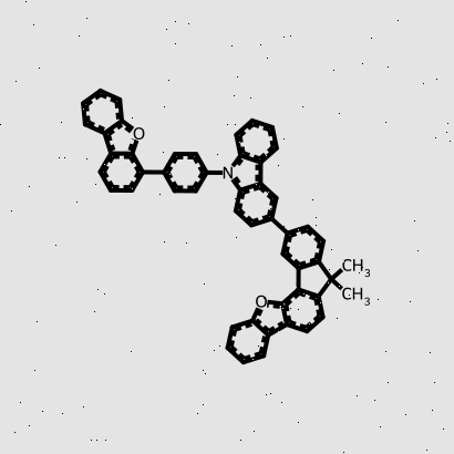 CC1(C)c2ccc(-c3ccc4c(c3)c3ccccc3n4-c3ccc(-c4cccc5c4oc4ccccc45)cc3)cc2-c2c1ccc1c2oc2ccccc21